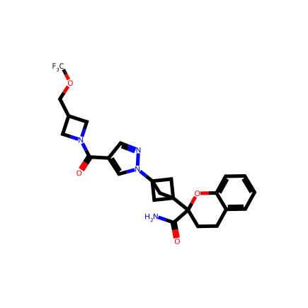 NC(=O)C1(C23CC(n4cc(C(=O)N5CC(COC(F)(F)F)C5)cn4)(C2)C3)CCc2ccccc2O1